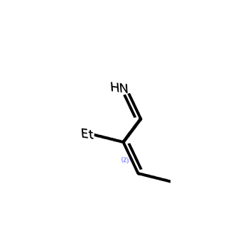 C/C=C(\C=N)CC